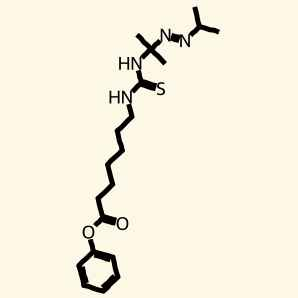 CC(C)N=NC(C)(C)NC(=S)NCCCCCCC(=O)Oc1ccccc1